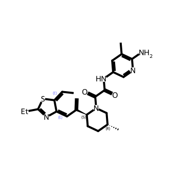 C=C(/C=c1/nc(CC)s/c1=C/C)[C@@H]1CC[C@@H](C)CN1C(=O)C(=O)Nc1cnc(N)c(C)c1